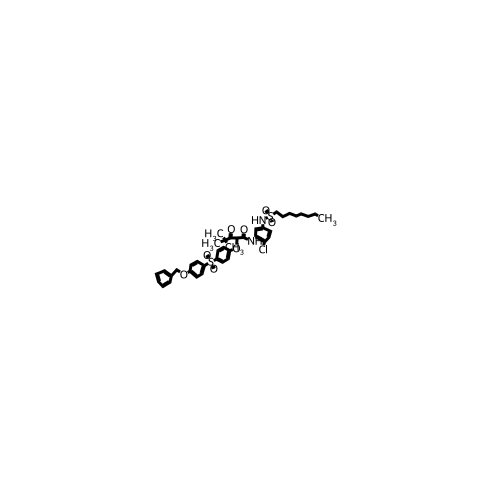 CCCCCCCCS(=O)(=O)Nc1ccc(Cl)c(NC(=O)C(Oc2ccc(S(=O)(=O)c3ccc(OCc4ccccc4)cc3)cc2)C(=O)C(C)(C)C)c1